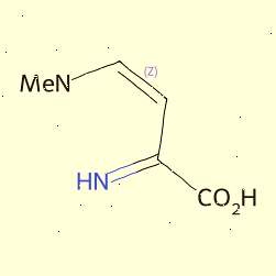 CN/C=C\C(=N)C(=O)O